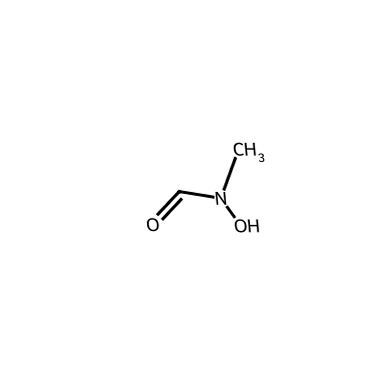 CN(O)C=O